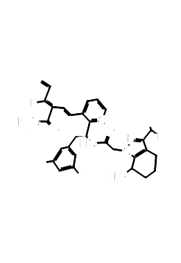 C=C/C(F)=C(\C=C\c1cccnc1[C@H](Cc1cc(F)cc(F)c1)NC(=O)Cn1nc(C(F)F)c2c1C(O)CCC2)C(N)=O